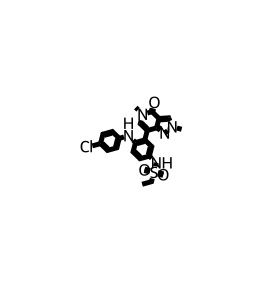 CCS(=O)(=O)Nc1ccc(Nc2ccc(Cl)cc2)c(-c2cn(C)c(=O)c3cn(C)nc23)c1